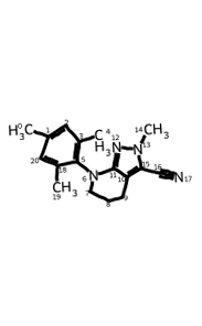 Cc1cc(C)c(N2CCCc3c2nn(C)c3C#N)c(C)c1